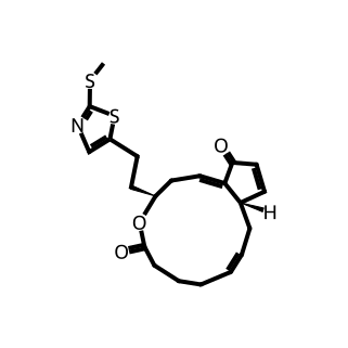 CSc1ncc(CC[C@H]2C/C=C3/C(=O)C=C[C@@H]3C/C=C\CCCC(=O)O2)s1